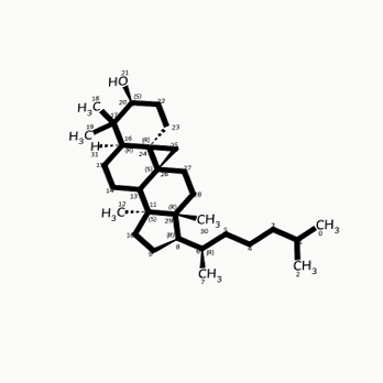 CC(C)CCC[C@@H](C)[C@H]1CC[C@@]2(C)C3CC[C@H]4C(C)(C)[C@@H](O)CC[C@@]45C[C@@]35CC[C@]12C